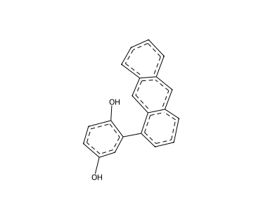 Oc1ccc(O)c(-c2cccc3cc4ccccc4cc23)c1